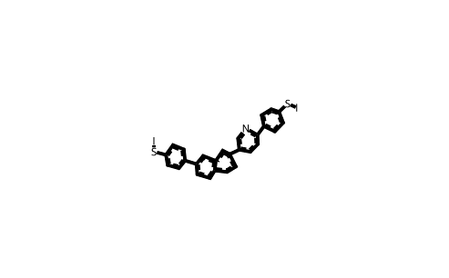 ISc1ccc(-c2ccc3ccc(-c4ccc(-c5ccc(SI)cc5)nc4)cc3c2)cc1